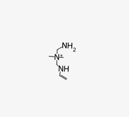 C=CNC[N+](C)(C)CN